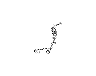 CCCCCCCC/C=C\CCCCCCCCOCC(CN1CCCCC1)OCCOC(=O)CCC(=O)O[C@H]1CC[C@@]2(C)C(=CC[C@H]3[C@@H]4CC[C@H]([C@H](C)CCCC(C)C)[C@@]4(C)CC[C@@H]32)C1